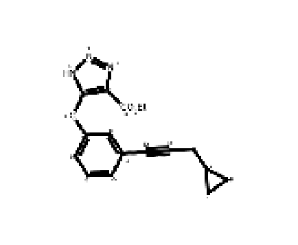 CCOC(=O)c1nn[nH]c1Oc1cccc(C#CCC2CC2)c1